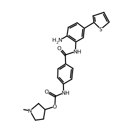 CN1CCC(OC(=O)Nc2ccc(C(=O)Nc3cc(-c4cccs4)ccc3N)cc2)C1